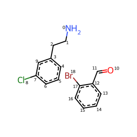 NCCc1cccc(Cl)c1.O=Cc1ccccc1Br